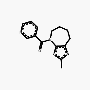 Cc1nc2c(s1)N(C(=O)c1cccnc1)CCCC2